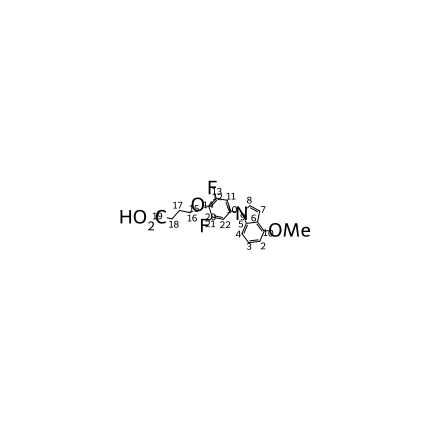 COc1cccc2c1ccn2-c1cc(F)c(OCCCC(=O)O)c(F)c1